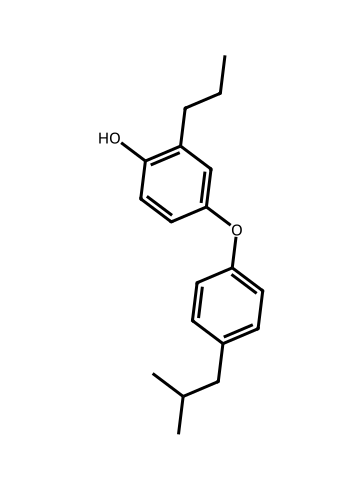 CCCc1cc(Oc2ccc(CC(C)C)cc2)ccc1O